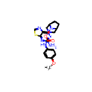 COc1ccc(NC(=O)ON2CC3CCC(C2)N3c2nc(N)nc3scnc23)cc1